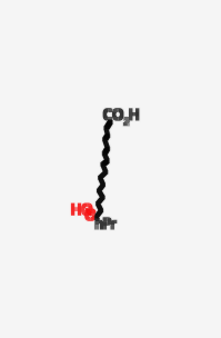 CCCC(CCCCCCCC=CC=CC=CC=CC(=O)O)OO